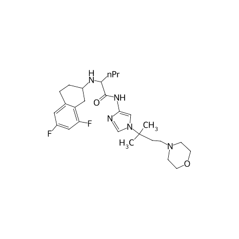 CCCC(NC1CCc2cc(F)cc(F)c2C1)C(=O)Nc1cn(C(C)(C)CCN2CCOCC2)cn1